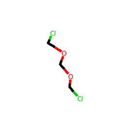 ClCOCOCCl